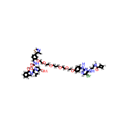 Cc1ncsc1-c1ccc(CNC(=O)[C@@H]2C[C@@H](O)CN2C(=O)[C@H](C(C)C)N2Cc3ccccc3C2=O)c(OCCOCCOCCCOCCOCCOc2ccc(Nc3ncc(Br)c(NCCCN(C)C(=O)C4CCC4)n3)cc2)c1